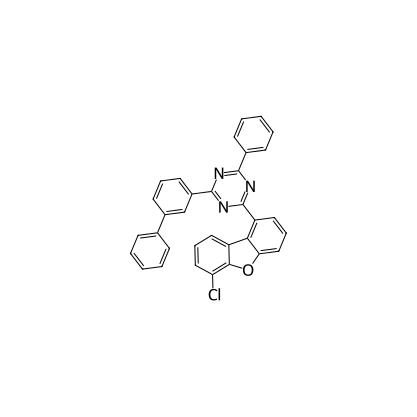 Clc1cccc2c1oc1cccc(-c3nc(-c4ccccc4)nc(-c4cccc(-c5ccccc5)c4)n3)c12